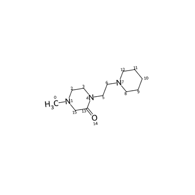 CN1CCN(CCN2CCCCC2)C(=O)C1